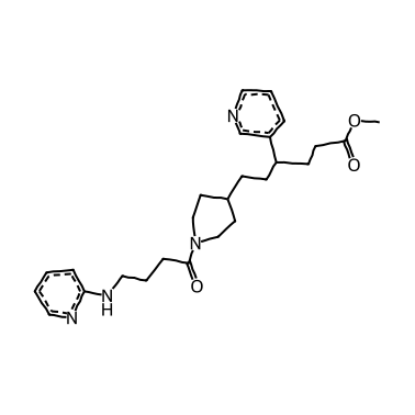 COC(=O)CCC(CCC1CCN(C(=O)CCCNc2ccccn2)CC1)c1cccnc1